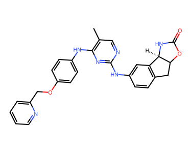 Cc1cnc(Nc2ccc3c(c2)[C@H]2NC(=O)OC2C3)nc1Nc1ccc(OCc2ccccn2)cc1